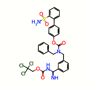 N=C(NC(=O)OCC(Cl)(Cl)Cl)c1cccc(CN(Cc2ccccc2)C(=O)Oc2ccc(-c3ccccc3S(N)(=O)=O)cc2)c1